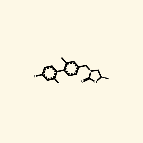 Cc1cc(CN2C[C@@H](C)OC2=O)ccc1-c1ccc(F)cc1F